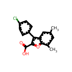 Cc1cc(C)c2oc(C(=O)O)c(-c3ccc(Cl)cc3)c2c1